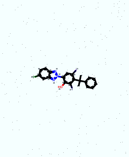 CC(C)(c1ccccc1)c1c(I)cc(-n2nc3ccc(F)cc3n2)c(O)c1I